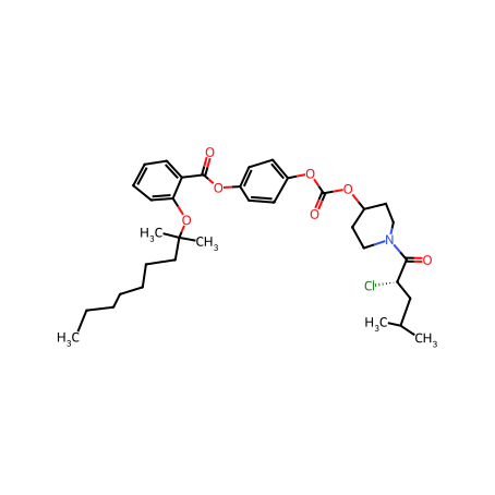 CCCCCCCC(C)(C)Oc1ccccc1C(=O)Oc1ccc(OC(=O)OC2CCN(C(=O)[C@@H](Cl)CC(C)C)CC2)cc1